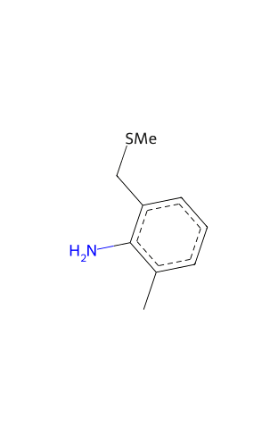 CSCc1cccc(C)c1N